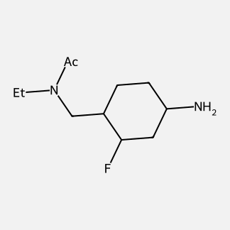 CCN(CC1CCC(N)CC1F)C(C)=O